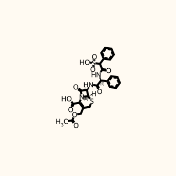 CC(=O)OCC1=C(C(=O)O)N2C(=O)[C@@H](NC(=O)[C@@H](NC(=O)C(c3ccccc3)S(=O)(=O)O)c3ccccc3)[C@H]2SC1